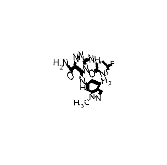 Cn1ncc2ccc(Nc3nc(N[C@H](CC(F)F)C(N)=O)nnc3C(N)=O)cc21